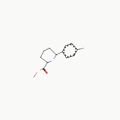 COC(=O)C1CCCC(c2ccc(F)cc2)N1